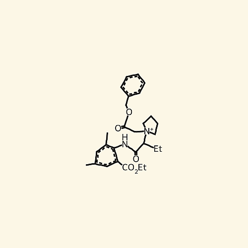 CCOC(=O)c1cc(C)cc(C)c1NC(=O)C(CC)[N+]1(CC(=O)OCc2ccccc2)CCCC1